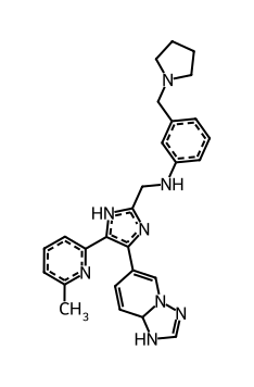 Cc1cccc(-c2[nH]c(CNc3cccc(CN4CCCC4)c3)nc2C2=CN3N=CNC3C=C2)n1